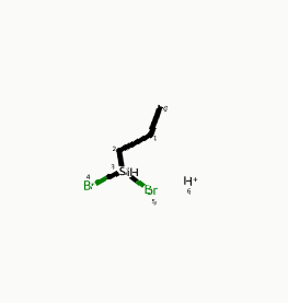 CCC[SiH](Br)Br.[H+]